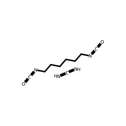 N=C=N.O=C=NCCCCCCN=C=O